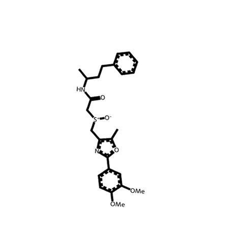 COc1ccc(-c2nc(C[S+]([O-])CC(=O)NC(C)CCc3ccccc3)c(C)o2)cc1OC